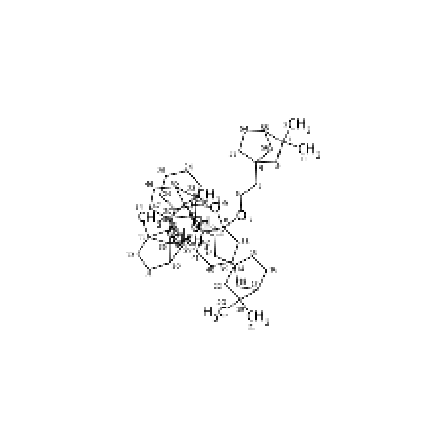 CC1(C)CC2(CCOC3(OC4(OCCC56CCC(C5)C(C)(C)C6)CCCCC4C4CC5CCC4(C)C5(C)C)CCCCC3C3CC4CCC3(C)C4(C)C)CCC1C2